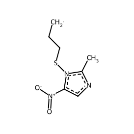 [CH2]CCSn1c([N+](=O)[O-])cnc1C